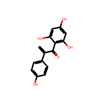 C=C(C(=O)c1c(O)cc(O)cc1O)c1ccc(O)cc1